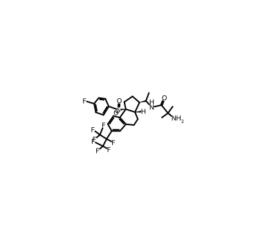 CC(NC(=O)C(C)(C)N)[C@@H]1CC[C@@]2(S(=O)(=O)c3ccc(F)cc3)c3ccc(C(F)(C(F)(F)F)C(F)(F)F)cc3CC[C@@H]12